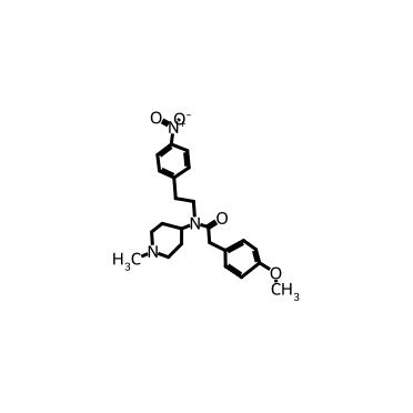 COc1ccc(CC(=O)N(CCc2ccc([N+](=O)[O-])cc2)C2CCN(C)CC2)cc1